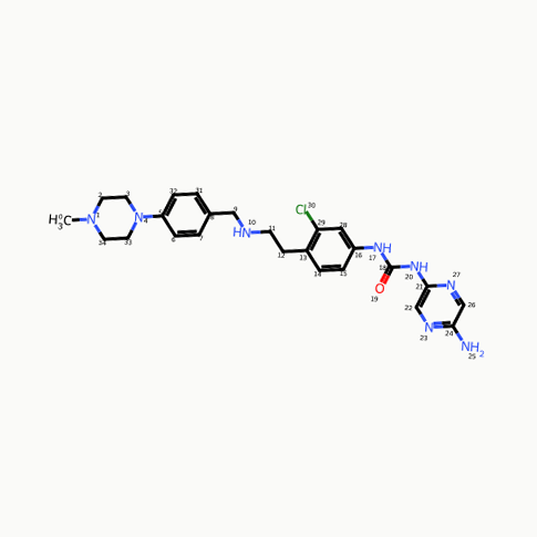 CN1CCN(c2ccc(CNCCc3ccc(NC(=O)Nc4cnc(N)cn4)cc3Cl)cc2)CC1